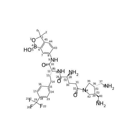 CC1(C)OB(O)c2cc(NC(=O)[C@@H](CCc3ccc(C(F)(F)F)cc3)NC(=O)[C@@H](N)CCC(=O)N3C[C@H](CN)[C@@H](CN)C3)ccc21